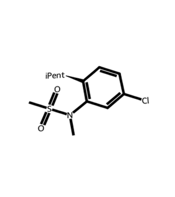 CCC[C@H](C)c1ccc(Cl)cc1N(C)S(C)(=O)=O